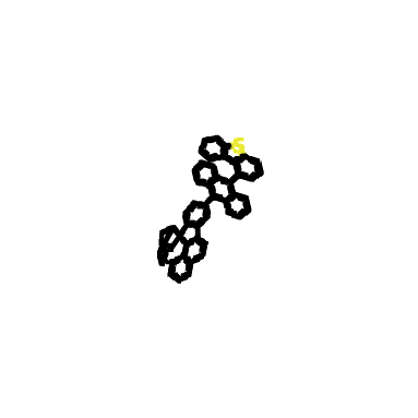 c1ccc2c3c(ccc2c1)-c1cc(-c2c4ccccc4c(-c4cccc5sc6ccccc6c45)c4ccccc24)ccc1C31C2CC3CC(C2)C1C3